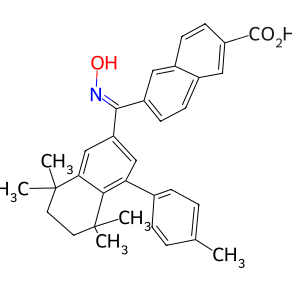 Cc1ccc(-c2cc(C(=NO)c3ccc4cc(C(=O)O)ccc4c3)cc3c2C(C)(C)CCC3(C)C)cc1